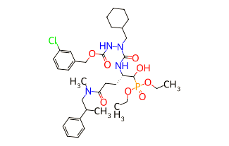 CCOP(=O)(OCC)C(O)[C@H](CCC(=O)N(C)CC(C)c1ccccc1)NC(=O)N(CC1CCCCC1)NC(=O)OCc1cccc(Cl)c1